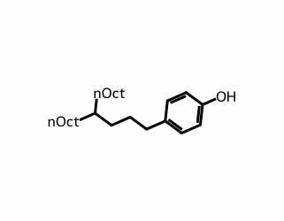 CCCCCCCCC(CCCCCCCC)CCCc1ccc(O)cc1